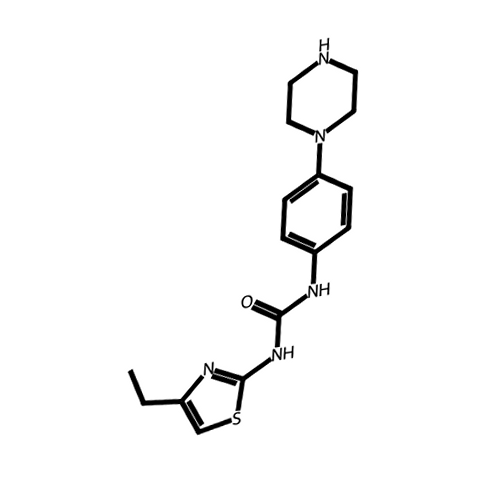 CCc1csc(NC(=O)Nc2ccc(N3CCNCC3)cc2)n1